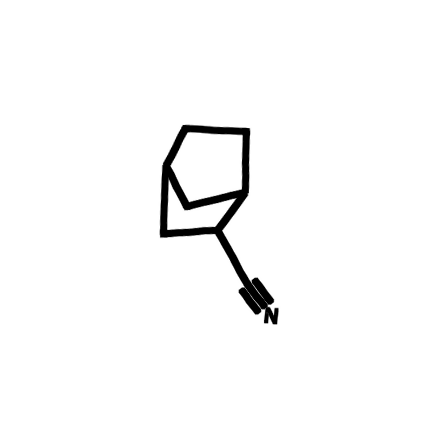 N#CC1CC2CCC1C2